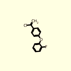 C=C(Cl)c1ccc(Oc2ccccc2F)cc1